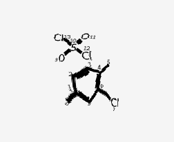 Cc1ccc(C)c(Cl)c1.O=S(=O)(Cl)Cl